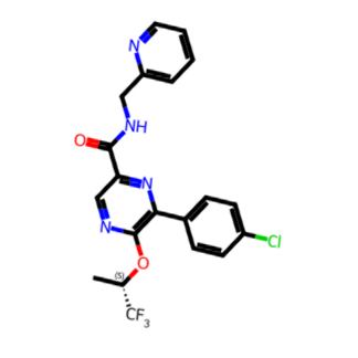 C[C@H](Oc1ncc(C(=O)NCc2ccccn2)nc1-c1ccc(Cl)cc1)C(F)(F)F